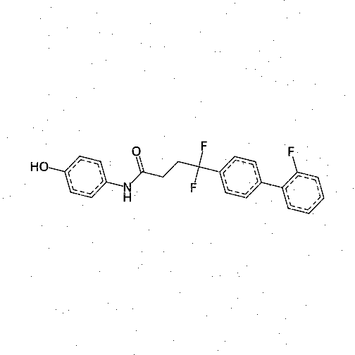 O=C(CCC(F)(F)c1ccc(-c2ccccc2F)cc1)Nc1ccc(O)cc1